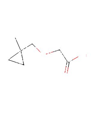 CC1(COCC(=O)O)CC1